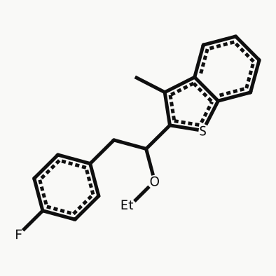 CCOC(Cc1ccc(F)cc1)c1sc2ccccc2c1C